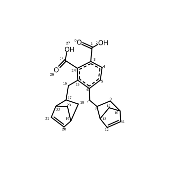 O=C(O)c1ccc(CC2CC3C=CC2C3)c(CC2CC3C=CC2C3)c1C(=O)O